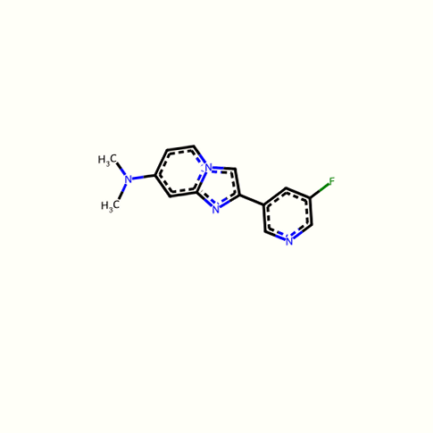 CN(C)c1ccn2cc(-c3cncc(F)c3)nc2c1